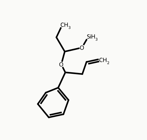 C=CCC(OC(CC)O[SiH3])c1ccccc1